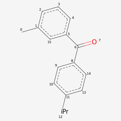 Cc1cccc(C(=O)c2ccc(C(C)C)cc2)c1